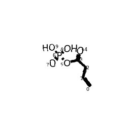 C=CCC(=O)OP(=O)(O)O